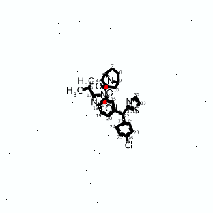 CCOC(=O)N1C2CCC1CC(n1c(C(C)C)nc3ccc(C(c4ccc(Cl)cc4)c4nccs4)cc31)C2